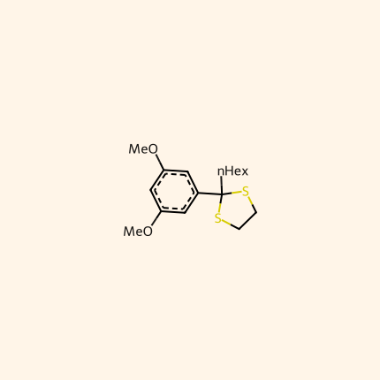 CCCCCCC1(c2cc(OC)cc(OC)c2)SCCS1